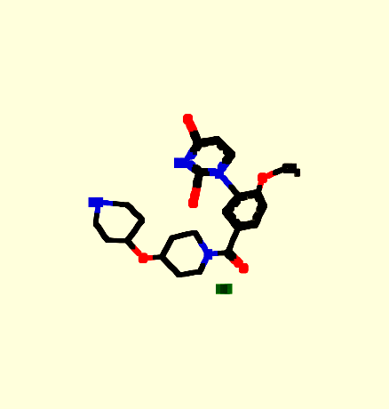 COc1ccc(C(=O)N2CCC(OC3CCNCC3)CC2)cc1-n1ccc(=O)[nH]c1=O.Cl